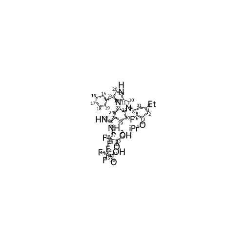 CCc1cc(OC(C)C)c(F)c(N(Cc2nc(-c3ccccc3)c[nH]2)c2ccc(C(=N)N)cc2)c1.O=C(O)C(F)(F)F.O=C(O)C(F)(F)F